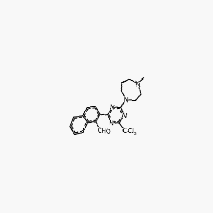 CN1CCCN(c2nc(-c3ccc4ccccc4c3C=O)nc(C(Cl)(Cl)Cl)n2)CC1